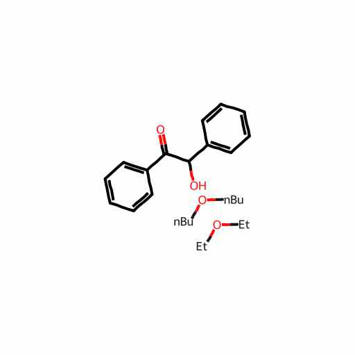 CCCCOCCCC.CCOCC.O=C(c1ccccc1)C(O)c1ccccc1